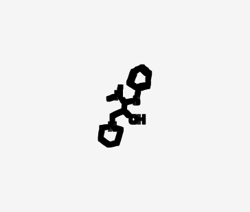 CN(C)C(Sc1ccccc1)C(O)CN1CCCCC1